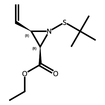 C=C[C@@H]1[C@H](C(=O)OCC)N1SC(C)(C)C